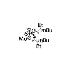 CCCCC(CC)COP1([O][Mo])(SCC(CC)CCCC)SS1